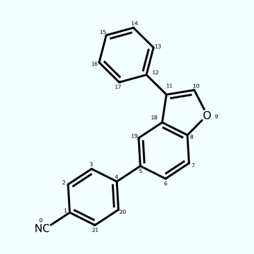 N#Cc1ccc(-c2ccc3occ(-c4ccccc4)c3c2)cc1